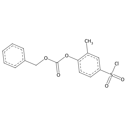 Cc1cc(S(=O)(=O)Cl)ccc1OC(=O)OCc1ccccc1